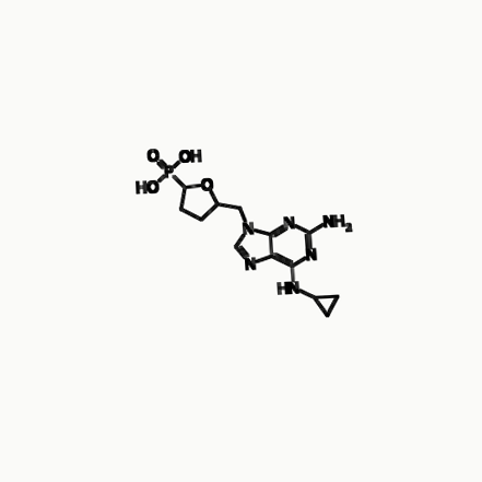 Nc1nc(NC2CC2)c2ncn(CC3CCC(P(=O)(O)O)O3)c2n1